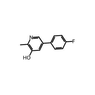 Cc1ncc(-c2ccc(F)cc2)cc1O